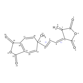 C=C1C(=O)OC(=O)/C1=C/C=C/C1(C)C=CC2=C(C=C1)C(=O)OC2=O